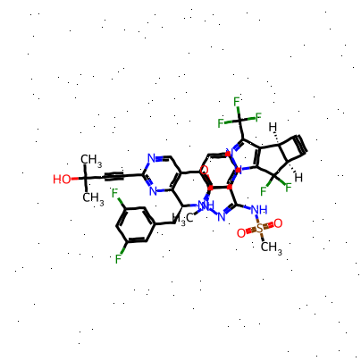 Cn1nc(NS(C)(=O)=O)c2cccc(-c3cnc(C#CC(C)(C)O)nc3[C@H](Cc3cc(F)cc(F)c3)NC(=O)Cn3nc(C(F)(F)F)c4c3C(F)(F)[C@@H]3C#C[C@H]43)c21